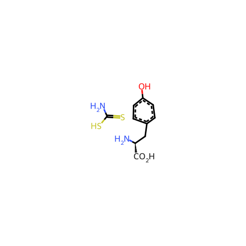 NC(=S)S.N[C@@H](Cc1ccc(O)cc1)C(=O)O